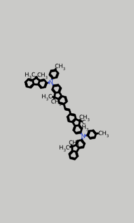 Cc1ccc(N(c2ccc3c(c2)C(C)(C)c2ccccc2-3)c2ccc3c(c2)C(C)(C)c2cc(/C=C/c4ccc5c(c4)C(C)(C)c4cc(N(c6ccc(C)cc6)c6ccc7c(c6)C(C)(C)c6ccccc6-7)ccc4-5)ccc2-3)cc1